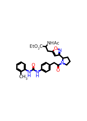 CCOC(=O)C(Cc1cc(C2CCCN2C(=O)Cc2ccc(NC(=O)Nc3ccccc3C)cc2)no1)NC(C)=O